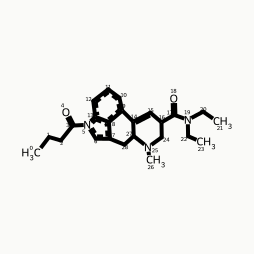 CCCC(=O)n1cc2c3c(cccc31)C1=CC(C(=O)N(CC)CC)CN(C)C1C2